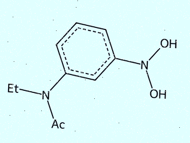 CCN(C(C)=O)c1cccc(N(O)O)c1